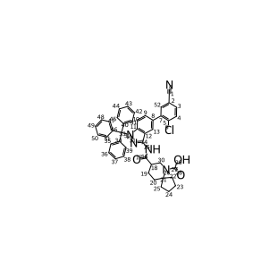 N#Cc1ccc(Cl)c(-c2ccc3c(c2)c(NC(=O)C2CCC4(CCCC4)N(C(=O)O)C2)nn3C(c2ccccc2)(c2ccccc2)c2ccccc2)c1